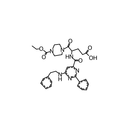 CCOC(=O)N1CCN(C(=O)C(CCC(=O)O)NC(=O)c2cc(NCCc3ccccc3)nc(-c3ccccc3)n2)CC1